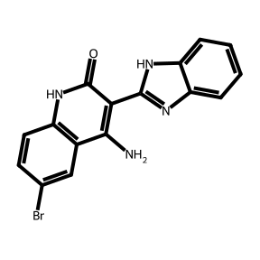 Nc1c(-c2nc3ccccc3[nH]2)c(=O)[nH]c2ccc(Br)cc12